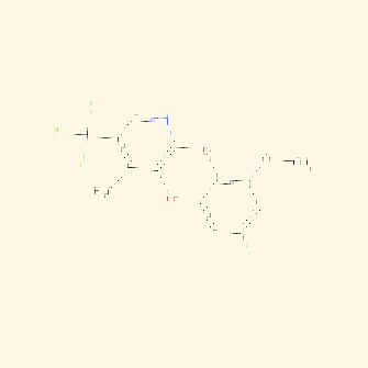 COc1cc(F)ccc1Oc1ncc(C(F)(F)F)c(C)c1Br